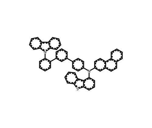 c1cc(-c2ccc(N(c3ccc4c(ccc5ccccc54)c3)c3cccc4sc5ccccc5c34)cc2)cc(-c2ccccc2-n2c3ccccc3c3ccccc32)c1